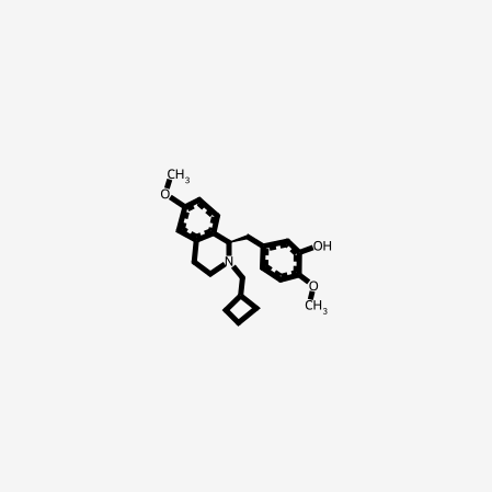 COc1ccc2c(c1)CCN(CC1CCC1)[C@@H]2Cc1ccc(OC)c(O)c1